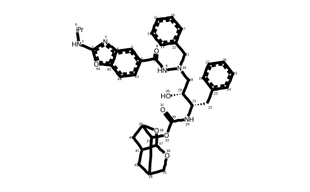 CC(C)Nc1nc2cc(C(=O)NN(Cc3ccccc3)C[C@@H](O)[C@H](Cc3ccccc3)NC(=O)OC3C4COC5OC3CC5C4)ccc2o1